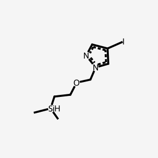 C[SiH](C)CCOCn1cc(I)cn1